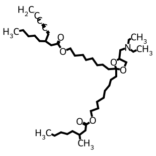 C=C=C=C=CC(CCCCC)CC(=O)OCCCCCCCCC1(CCCCCCCCOC(=O)CC(C)CCCCC)OCC(CN(CC)CC)O1